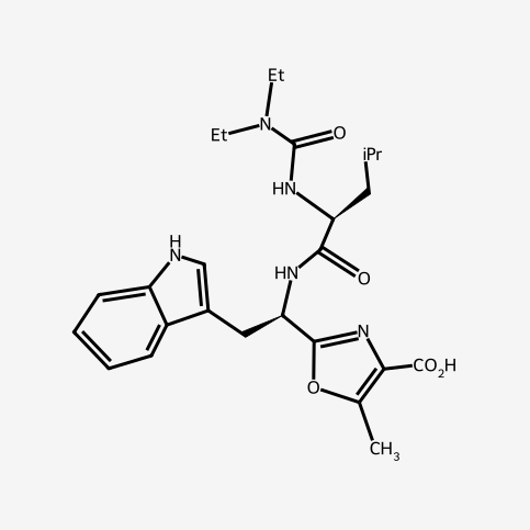 CCN(CC)C(=O)N[C@@H](CC(C)C)C(=O)N[C@H](Cc1c[nH]c2ccccc12)c1nc(C(=O)O)c(C)o1